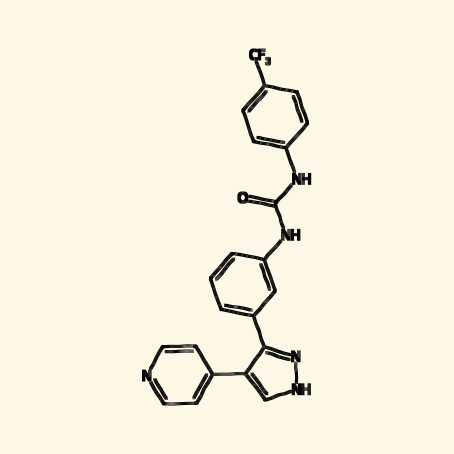 O=C(Nc1ccc(C(F)(F)F)cc1)Nc1cccc(-c2n[nH]cc2-c2ccncc2)c1